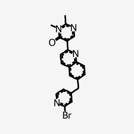 Cc1ncc(-c2ccc3cc(Cc4ccnc(Br)c4)ccc3n2)c(=O)n1C